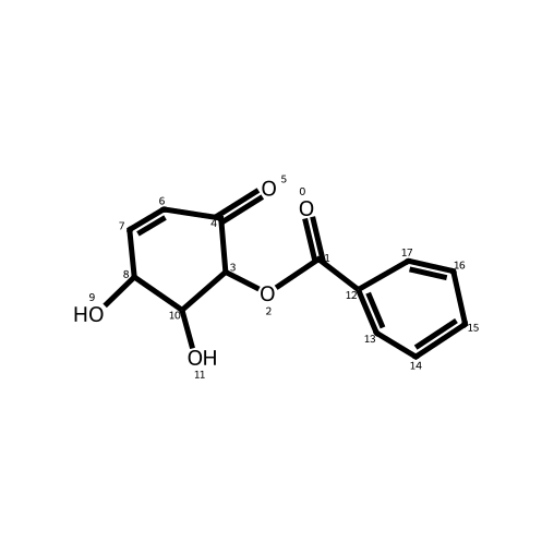 O=C(OC1C(=O)C=CC(O)C1O)c1ccccc1